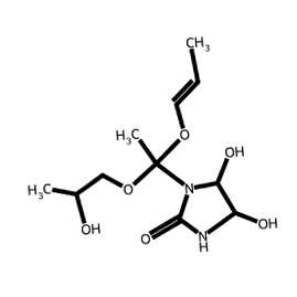 CC=COC(C)(OCC(C)O)N1C(=O)NC(O)C1O